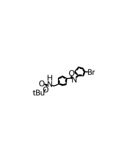 CC(C)(C)OC(=O)NCc1ccc(-c2nc3cc(Br)ccc3o2)cc1